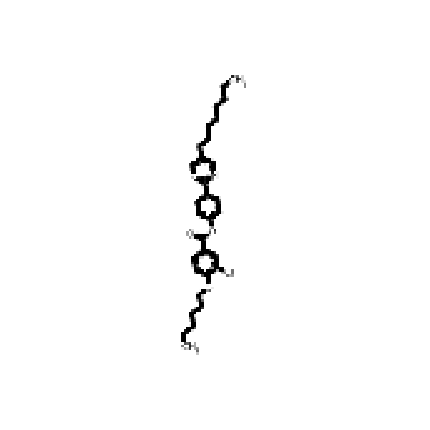 CCCCCCCCc1cnc(-c2ccc(OC(=O)c3ccc(OCCCCCC)c(Cl)c3)cc2)nc1